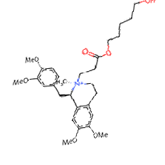 COc1ccc(C[C@@H]2c3cc(OC)c(OC)cc3CC[N@+]2(C)CCC(=O)OCCCCCO)cc1OC